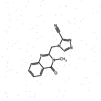 Cn1c(Cn2cnnc2C#N)nc2ccccc2c1=O